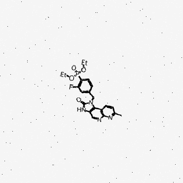 CCOP(=O)(OCC)c1ccc(Cn2c(=O)[nH]c3cnc4nc(C)ccc4c32)cc1F